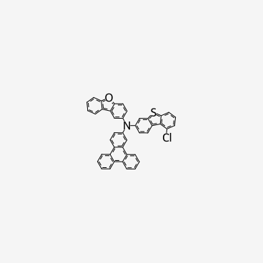 Clc1cccc2sc3cc(N(c4ccc5oc6ccccc6c5c4)c4ccc5c6ccccc6c6ccccc6c5c4)ccc3c12